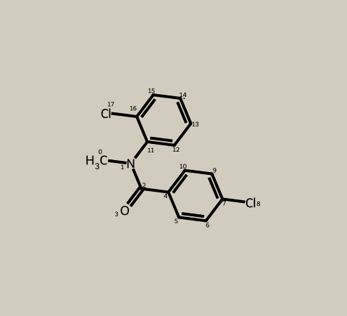 CN(C(=O)c1ccc(Cl)cc1)c1cc[c]cc1Cl